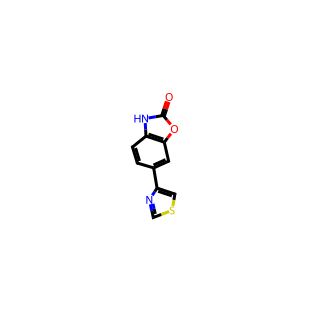 O=c1[nH]c2ccc(-c3cscn3)cc2o1